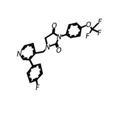 O=C1CN(Cc2ccncc2-c2ccc(F)cc2)C(=O)N1c1ccc(OC(F)(F)F)cc1